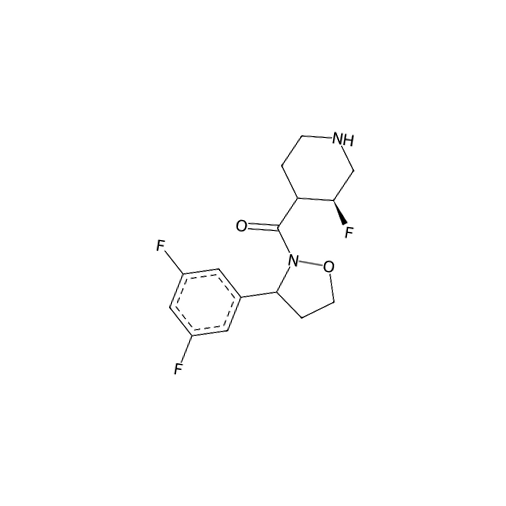 O=C(C1CCNC[C@H]1F)N1OCCC1c1cc(F)cc(F)c1